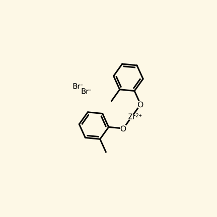 Cc1ccccc1[O][Zr+2][O]c1ccccc1C.[Br-].[Br-]